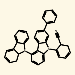 N#CC1CC=CC=C1n1c2cc(-c3ccccc3)ccc2c2c(N3c4ccccc4C4=CC=CCC43)cccc21